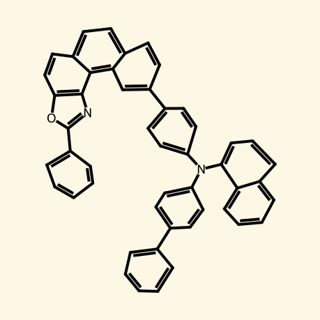 c1ccc(-c2ccc(N(c3ccc(-c4ccc5ccc6ccc7oc(-c8ccccc8)nc7c6c5c4)cc3)c3cccc4ccccc34)cc2)cc1